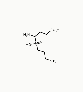 NC(CCC(=O)O)P(=O)(O)CCCC(F)(F)F